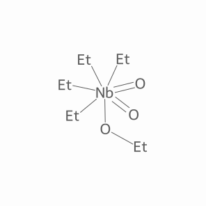 CC[O][Nb](=[O])(=[O])([CH2]C)([CH2]C)([CH2]C)[CH2]C